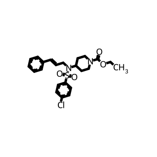 CCOC(=O)N1CCC(N(CC=Cc2ccccc2)S(=O)(=O)c2ccc(Cl)cc2)CC1